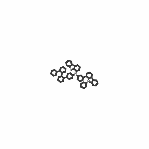 c1ccc(-c2ccccc2-c2ccccc2-c2ccc(N(c3cccc(-c4cccc5c6ccccc6n(-c6ccccc6)c45)c3)c3cccc4c3sc3ccccc34)cc2)cc1